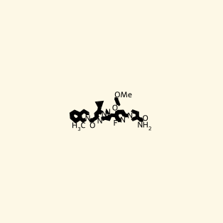 COCCOc1cc(N2CCC(C(N)=O)C2)nc(F)c1-c1cc2nc(C(=O)N3CCc4ccccc4[C@H]3C)cc(C3CC3)n2n1